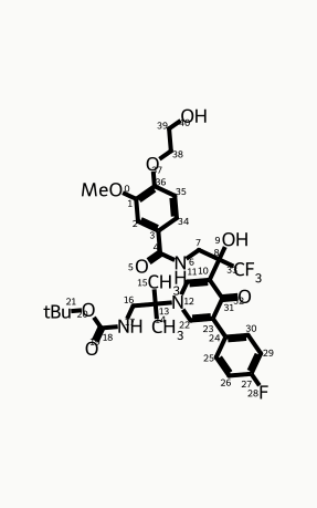 COc1cc(C(=O)NCC(O)(c2cn(C(C)(C)CNC(=O)OC(C)(C)C)cc(-c3ccc(F)cc3)c2=O)C(F)(F)F)ccc1OCCO